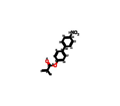 C=C(C)C(=O)Oc1ccc(-c2ccc([N+](=O)[O-])cc2)cc1